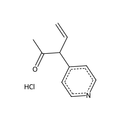 C=CC(C(C)=O)c1ccncc1.Cl